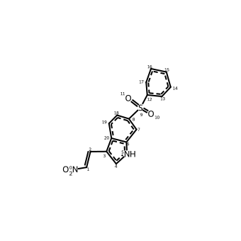 O=[N+]([O-])C=Cc1c[nH]c2cc(S(=O)(=O)c3ccccc3)ccc12